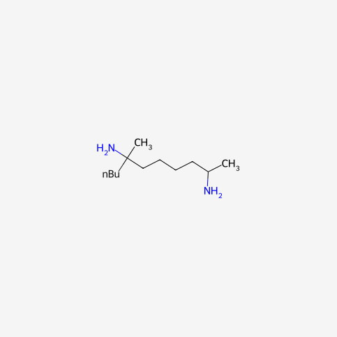 CCCCC(C)(N)CCCCC(C)N